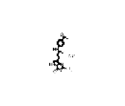 Nc1nc(=O)n2[nH]cc(CCC(=O)Nc3ccc(C(=O)[O-])cc3)c2n1.[Na+]